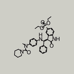 CCOP(=O)(OCC)c1ccc2c(c1)C(=C(Nc1ccc(N(C)C(=O)N3CCCCC3)cc1)c1ccccc1)C(=O)N2